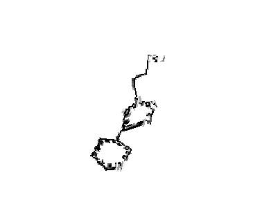 CC(C)(C)CCn1cc(-c2cccnc2)nn1